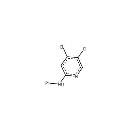 CC(C)Nc1cc(Cl)c(Cl)cn1